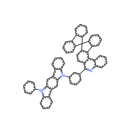 c1ccc(-n2c3ccccc3c3cc4c(cc32)c2ccccc2n4-c2cccc(-c3nc4ccccc4c4c5c(ccc34)C3(c4ccccc4-c4ccccc43)c3ccccc3-5)c2)cc1